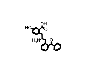 N[C@@H](Cc1ccc(O)cc1C(=O)O)Cc1ccccc1C(=O)c1ccccc1